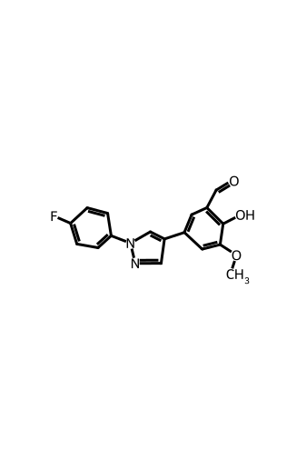 COc1cc(-c2cnn(-c3ccc(F)cc3)c2)cc(C=O)c1O